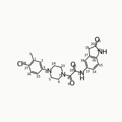 Cc1cc(N2CCN(C(=O)C(=O)Nc3ccc4c(c3)CC(=O)N4)CC2)ccc1Cl